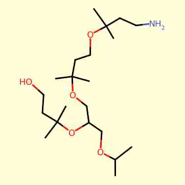 CC(C)OCC(COC(C)(C)CCOC(C)(C)CCN)OC(C)(C)CCO